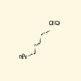 CCCC/C=C/CC[C]=O